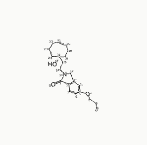 O=C1c2ccc(OCCF)cc2CN1CC[C@]1(O)CC/C=C\CCC1